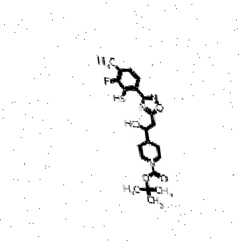 Cc1ccc(-c2noc(CC(O)C3CCN(C(=O)OC(C)(C)C)CC3)n2)c(S)c1F